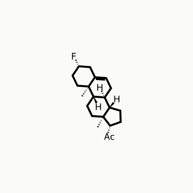 CC(=O)[C@H]1CC[C@H]2[C@@H]3CC=C4C[C@@H](F)CC[C@]4(C)[C@H]3CC[C@]12C